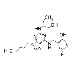 CCCCCn1cnc2c(NCc3cc(F)ccc3O)nc(NC(CC)CO)nc21